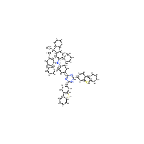 CC1(C)c2ccccc2-c2ccc3c(c21)c1ccccc1n3-c1c(-c2ccccc2)cc(-c2nc(-c3ccc4c(c3)sc3ccccc34)nc(-c3ccc4c(c3)sc3ccccc34)n2)cc1-c1ccccc1